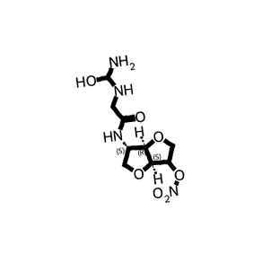 NC(O)NCC(=O)N[C@H]1CO[C@@H]2C(O[N+](=O)[O-])CO[C@H]12